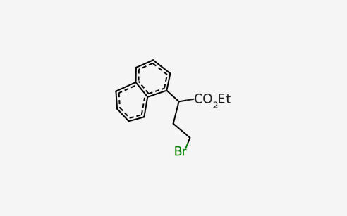 CCOC(=O)C(CCBr)c1cccc2ccccc12